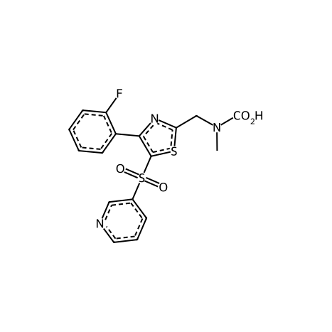 CN(Cc1nc(-c2ccccc2F)c(S(=O)(=O)c2cccnc2)s1)C(=O)O